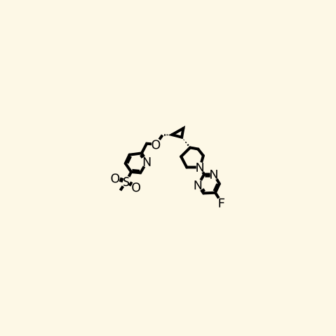 CS(=O)(=O)c1ccc(COC[C@@H]2C[C@@H]2C2CCN(c3ncc(F)cn3)CC2)nc1